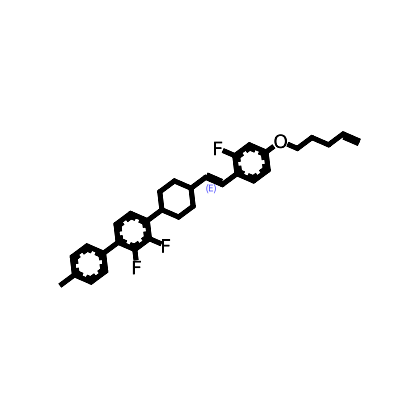 C=CCCCOc1ccc(/C=C/C2CCC(c3ccc(-c4ccc(C)cc4)c(F)c3F)CC2)c(F)c1